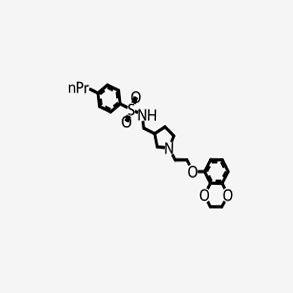 CCCc1ccc(S(=O)(=O)NCC2CCN(CCOc3cccc4c3OCCO4)C2)cc1